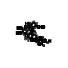 Cc1c(O)c(O)cc2c1C(c1c[nH]c3ccc(C=O)cc13)C=C1[C@@]2(C)CC[C@@]2(C)C[C@](C)(C[C@H](C)C(C)C(=O)O)CC[C@]12C